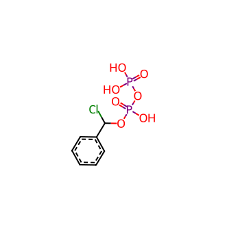 O=P(O)(O)OP(=O)(O)OC(Cl)c1ccccc1